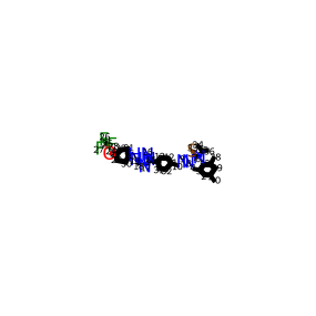 Cc1cc(C)c(N2/C(=N/N=C/c3ccc(C(=N)/N=C\Nc4ccc(OC(F)(F)F)cc4)cc3)SCC2C)c(C)c1